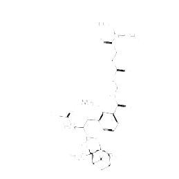 CCC(=O)NC(Cc1cccc(C(=O)OCOC(=O)CCC(=O)N(C)C)c1OC)B1OC2CC3CC(C3(C)C)C2(C)O1